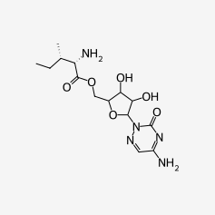 CC[C@H](C)[C@H](N)C(=O)OCC1OC(n2ncc(N)nc2=O)C(O)C1O